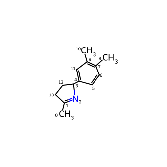 CC1=NC(c2ccc(C)c(C)c2)CC1